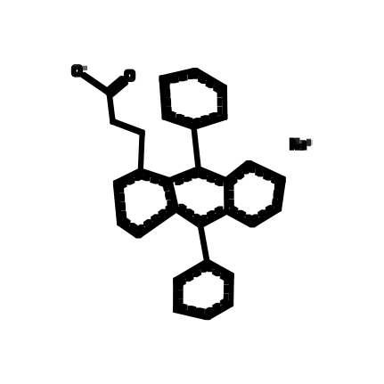 O=C([O-])CCc1cccc2c(-c3ccccc3)c3ccccc3c(-c3ccccc3)c12.[Na+]